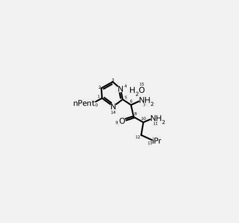 CCCCCc1ccnc(C(N)C(=O)C(N)CC(C)C)n1.O